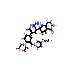 COC1CCN(Cc2cc(-c3cc(-c4cc5c(cc4F)C(=O)NCC5)c(N)nc3F)ccc2N2CCOCC2)C1